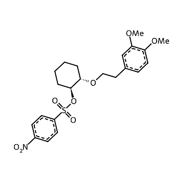 COc1ccc(CCO[C@H]2CCCC[C@@H]2OS(=O)(=O)c2ccc([N+](=O)[O-])cc2)cc1OC